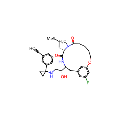 C#Cc1cccc(C2(NC[C@@H](O)[C@@H]3Cc4cc(F)cc(c4)OCCCCC(=O)N(C)[C@@H](CCSC)C(=O)N3)CC2)c1